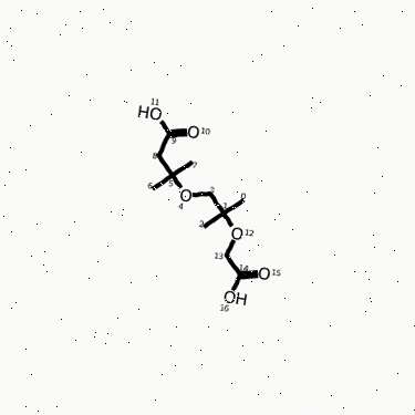 CC(C)(COC(C)(C)CC(=O)O)OCC(=O)O